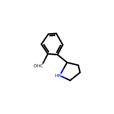 O=Cc1ccccc1C1CCCN1